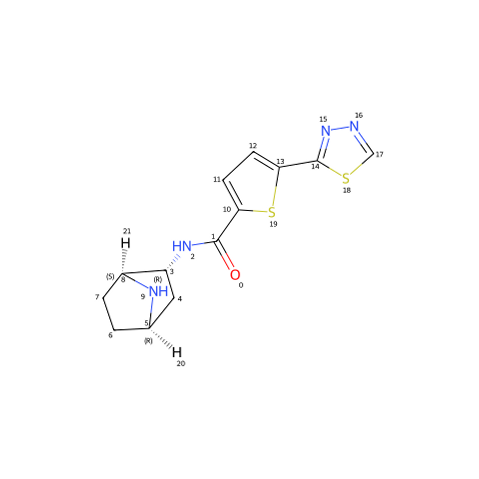 O=C(N[C@@H]1C[C@H]2CC[C@@H]1N2)c1ccc(-c2nncs2)s1